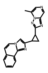 Cc1cncc2nc(C3CC3c3cn4ccc5ccccc5c4n3)nn12